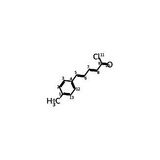 Cc1ccc(/C=C/C=C/C(=O)Cl)cc1